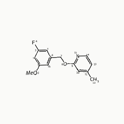 COc1cc(F)cc(COc2cc(C)ccn2)c1